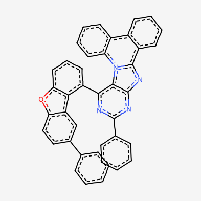 c1ccc(-c2ccc3oc4cccc(-c5nc(-c6ccccc6)nc6nc7c8ccccc8c8ccccc8n7c56)c4c3c2)cc1